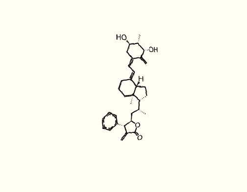 C=C1/C(=C\C=C2/CCC[C@]3(C)[C@@H]([C@H](C)C[C@H]4OC(=O)C(=C)[C@@H]4c4ccccc4)CC[C@@H]23)C[C@@H](O)[C@H](C)[C@@H]1O